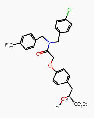 CCOC(=O)[C@H](Cc1ccc(OCC(=O)N(Cc2ccc(Cl)cc2)Cc2ccc(C(F)(F)F)cc2)cc1)OCC